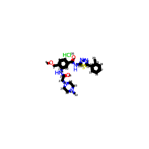 COCc1ccc(C(=O)Nc2nnc(-c3ccccc3C)s2)cc1NC(=O)CN1CCN(C)CC1.Cl